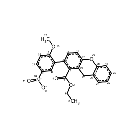 CCOC(=O)c1c(-c2cc([N+](=O)[O-])ccc2OC)ccc2c1Cc1ccccc1O2